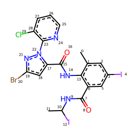 Cc1cc(I)cc(C(=O)NC(C)I)c1NC(=O)c1cc(Br)nn1-c1ncccc1Cl